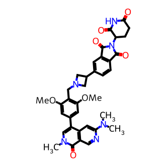 COc1cc(-c2cn(C)c(=O)c3cnc(N(C)C)cc23)cc(OC)c1CN1CC(c2ccc3c(c2)C(=O)N(C2CCC(=O)NC2=O)C3=O)C1